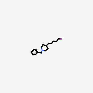 ICCCCCC1CCN(Cc2ccccc2)CC1